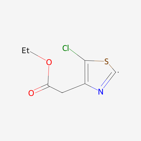 CCOC(=O)Cc1n[c]sc1Cl